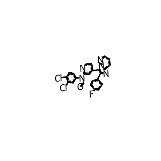 O=CN(c1ccc(Cl)c(Cl)c1)c1cc(-c2c(-c3ccc(F)cc3)nc3cccnn23)ccn1